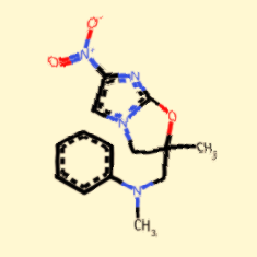 CN(CC1(C)Cn2cc([N+](=O)[O-])nc2O1)c1ccccc1